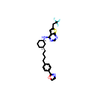 FC(F)(F)Cc1cc2c(N[C@@H]3CCC[C@H](CCCCc4ccc(-c5ncco5)cc4)C3)ncnc2s1